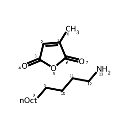 CC1=CC(=O)OC1=O.CCCCCCCCCCCCN